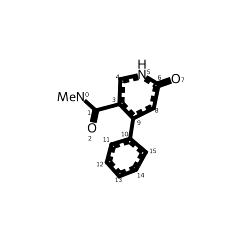 CNC(=O)c1c[nH]c(=O)cc1-c1ccccc1